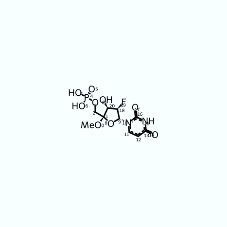 CO[C@]1(COP(=O)(O)O)O[C@@H](n2ccc(=O)[nH]c2=O)[C@H](F)[C@@H]1O